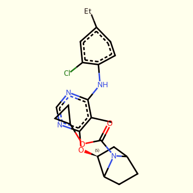 CCc1ccc(Nc2ncnc(O[C@H]3CC4CCC3N4C(=O)OC3CC3)c2C)c(Cl)c1